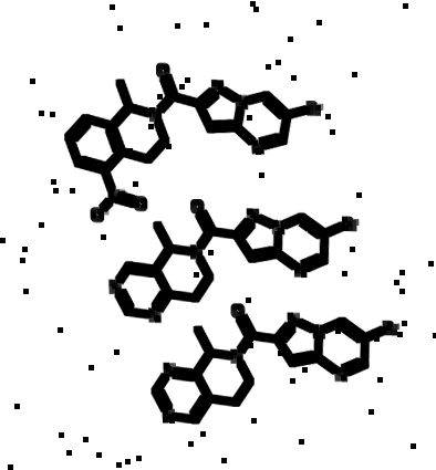 CC1c2cccc([N+](=O)[O-])c2CCN1C(=O)c1cc2ncc(Br)cn2n1.CC1c2cncnc2CCN1C(=O)c1cc2ncc(Br)cn2n1.CC1c2ncncc2CCN1C(=O)c1cc2ncc(Br)cn2n1